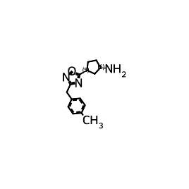 Cc1ccc(Cc2noc([C@H]3CC[C@H](N)C3)n2)cc1